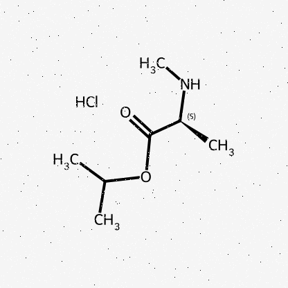 CN[C@@H](C)C(=O)OC(C)C.Cl